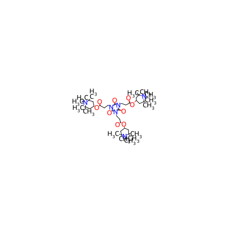 CN1C(C)(C)CC(OC(=O)CCn2c(=O)n(CCC(=O)OC3CC(C)(C)N(C)C(C)(C)C3)c(=O)n(CCC(=O)OC3CC(C)(C)N(C)C(C)(C)C3)c2=O)CC1(C)C